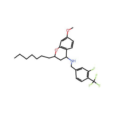 CCCCCCCC1CC(NCc2ccc(C(F)(F)F)c(F)c2)c2ccc(OC)cc2O1